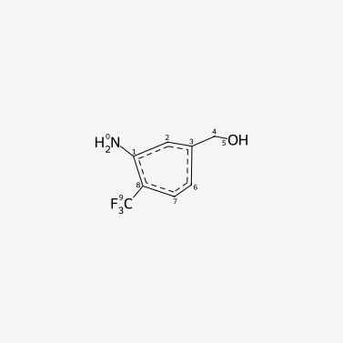 Nc1cc(CO)ccc1C(F)(F)F